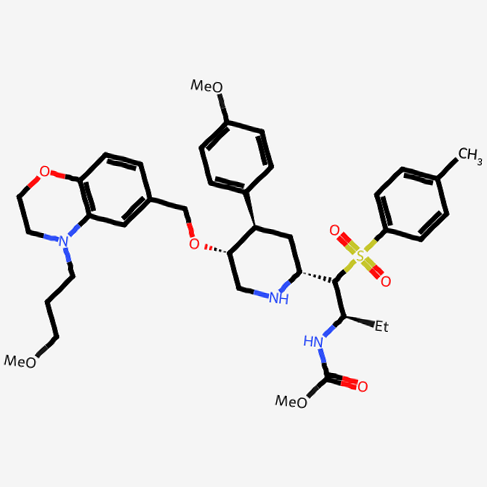 CC[C@@H](NC(=O)OC)C([C@H]1C[C@H](c2ccc(OC)cc2)[C@@H](OCc2ccc3c(c2)N(CCCOC)CCO3)CN1)S(=O)(=O)c1ccc(C)cc1